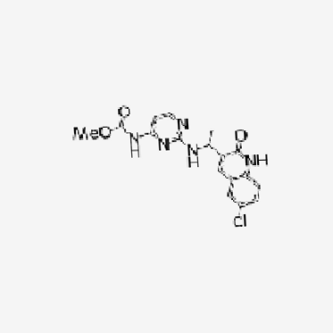 COC(=O)Nc1ccnc(NC(C)c2cc3cc(Cl)ccc3[nH]c2=O)n1